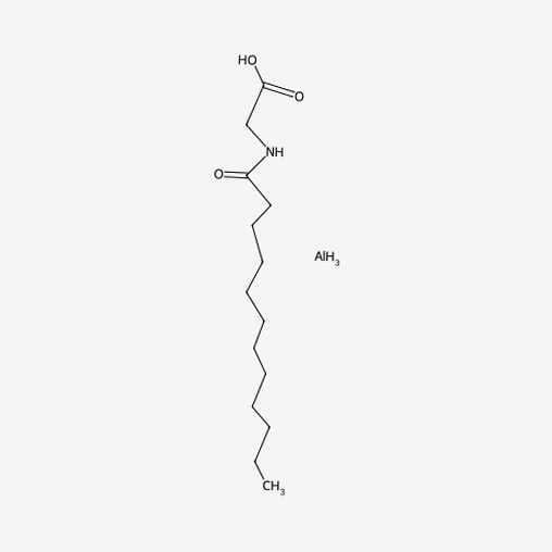 CCCCCCCCCCCC(=O)NCC(=O)O.[AlH3]